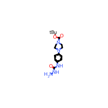 CC(C)(C)OC(=O)N1CCN(c2ccc(NC(=O)NN)cc2)CC1